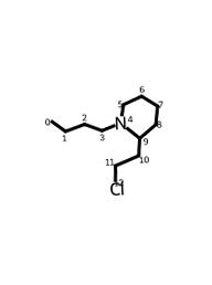 CCCCN1CCCCC1CCCl